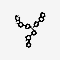 c1cc(-c2ccc3sc4ccccc4c3c2)cc(N(c2ccc(-c3ccc4ccccc4c3)cc2)c2ccc(-c3ccc4oc5ccccc5c4c3)cc2)c1